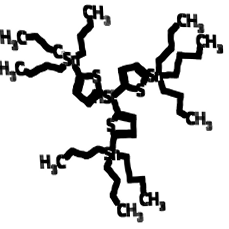 CCC[CH2][Sn]([CH2]CCC)([CH2]CCC)[c]1ccc([SiH](c2cc[c]([Sn]([CH2]CCC)([CH2]CCC)[CH2]CCC)s2)c2cc[c]([Sn]([CH2]CCC)([CH2]CCC)[CH2]CCC)s2)s1